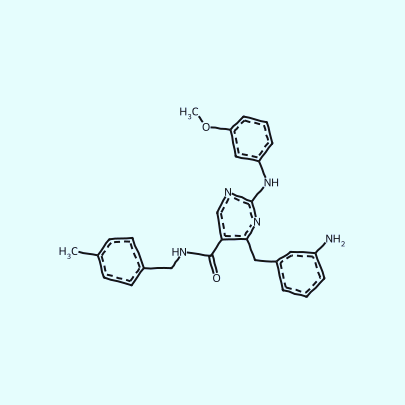 COc1cccc(Nc2ncc(C(=O)NCc3ccc(C)cc3)c(Cc3cccc(N)c3)n2)c1